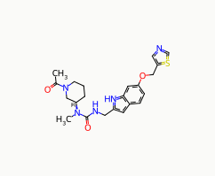 CC(=O)N1CCC[C@@H](N(C)C(=O)NCc2cc3ccc(OCc4cncs4)cc3[nH]2)C1